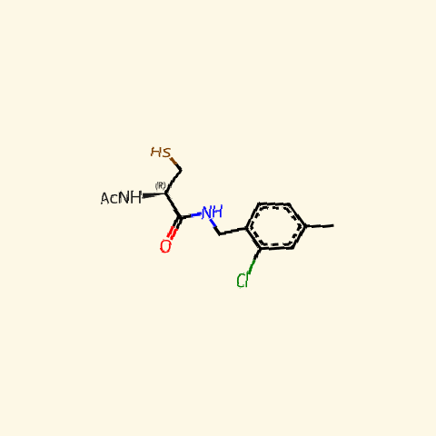 CC(=O)N[C@@H](CS)C(=O)NCc1ccc(C)cc1Cl